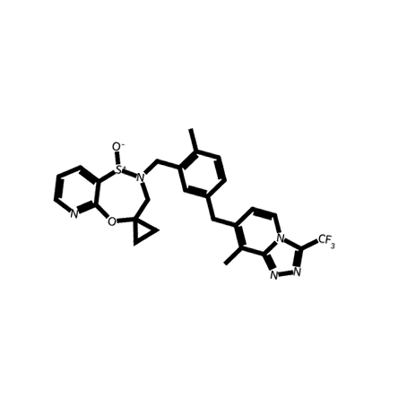 Cc1ccc(Cc2ccn3c(C(F)(F)F)nnc3c2C)cc1CN1CC2(CC2)Oc2ncccc2[S+]1[O-]